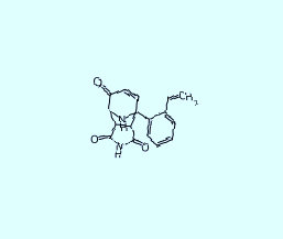 C=Cc1ccccc1C12C=CC(=O)C(N1)C1C(=O)NC(=O)C12